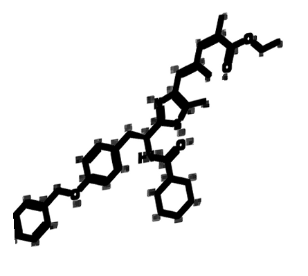 CCOC(=O)/C(C)=C\C(C)=C\c1nc([C@H](Cc2ccc(OCc3ccccc3)cc2)NC(=O)C2CCCCC2)sc1C